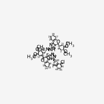 COc1ccc(C(=O)c2sc(NN)nc2-c2ccccc2)cc1OC.COc1ccc(C(=O)c2sc3nnc(SCc4c(F)cccc4Cl)n3c2-c2ccccc2)cc1OC